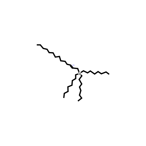 CCCCCCCCCCC/C=C/C[Si](CCCCCCCC)(CCCCCCCC)CCCCCCCC